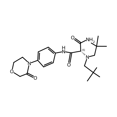 CC(C)(C)CN(CC(C)(C)C)[C@@H](C(N)=O)C(=O)Nc1ccc(N2CCOCC2=O)cc1